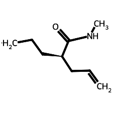 [CH2]CC[C@H](CC=C)C(=O)NC